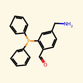 NCc1ccc(C=O)c(P(c2ccccc2)c2ccccc2)c1